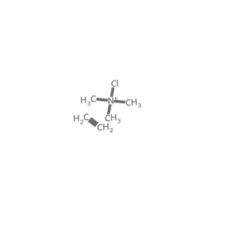 C=C.C[N+](C)(C)Cl